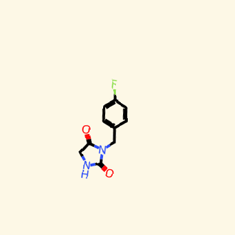 O=C1CNC(=O)N1Cc1ccc(F)cc1